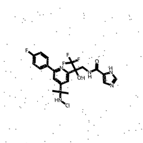 CC(C)(NCl)c1cc(-c2ccc(F)cc2)nc(C(O)(CNC(=O)c2cnc[nH]2)C(F)(F)F)c1